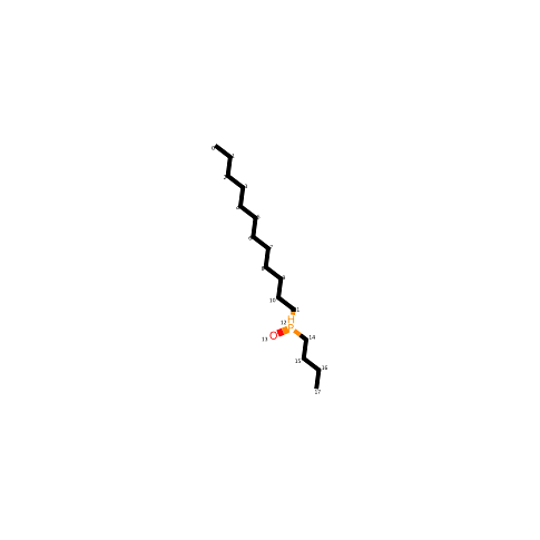 CCCCCCCCCCCC[PH](=O)CCCC